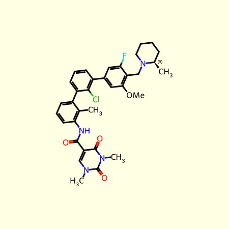 COc1cc(-c2cccc(-c3cccc(NC(=O)c4cn(C)c(=O)n(C)c4=O)c3C)c2Cl)cc(F)c1CN1CCCC[C@H]1C